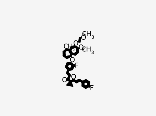 C=C1C=CC=C(Oc2ccc(/C=C/C(=O)C3(C(=O)/C=C/c4ccc(F)cc4)CC3)cc2F)C2=C1C=C(OCCOC)C(OC)=C=C2